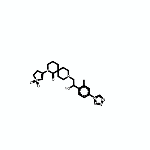 Cc1cc(-n2cnnn2)ccc1C(O)CN1CCC2(CCCN(C3=CS(=O)(=O)CC3)C2=O)CC1